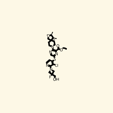 CCOC(=O)c1nc(Sc2ccnc(N3CC(F)(CO)C3)c2Cl)cnc1N1CCC2(CC1)CO[C@@H](C)[C@H]2C